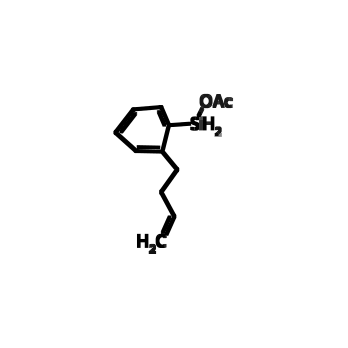 C=CCCc1ccccc1[SiH2]OC(C)=O